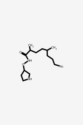 CC(=O)CCCC(C)CCC(C)C(=O)NOC1CCNC1